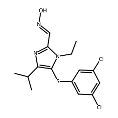 CCn1c(C=NO)nc(C(C)C)c1Sc1cc(Cl)cc(Cl)c1